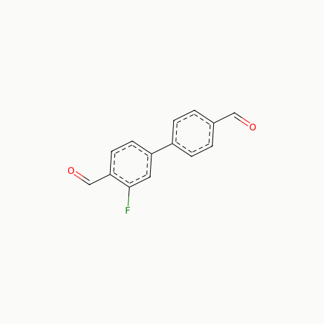 O=Cc1ccc(-c2ccc(C=O)c(F)c2)cc1